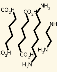 NCCCCCCN.NCCN.O=C(O)CCCCC(=O)O.O=C(O)CCCCC(=O)O